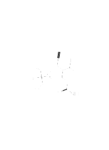 C#CCC(COC(N)=O)C(C)I.O=[N+]([O-])C(Br)(CO)CO